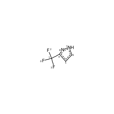 FC(F)(F)c1c[c][nH]n1